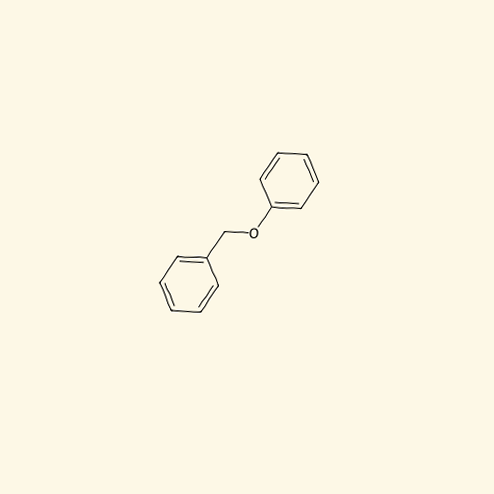 c1ccc(COc2ccccc2)cc1